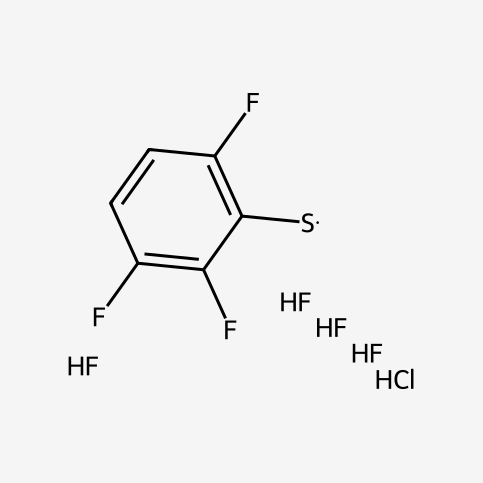 Cl.F.F.F.F.Fc1ccc(F)c([S])c1F